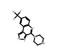 FC(F)(F)c1ccc2nc(N3CCNCC3)c3nocc3c2c1